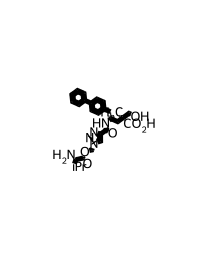 CC(C)C(N)C(=O)OCn1cc(C(=O)N[C@H](Cc2ccc(-c3ccccc3)cc2)C[C@@](C)(CO)C(=O)O)nn1